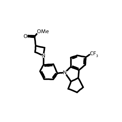 COC(=O)C1CN(c2cccc(N3c4ccc(C(F)(F)F)cc4C4CCCC43)c2)C1